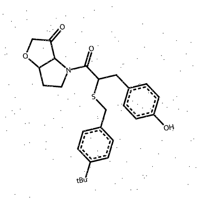 CC(C)(C)c1ccc(CSC(Cc2ccc(O)cc2)C(=O)N2CCC3OCC(=O)C32)cc1